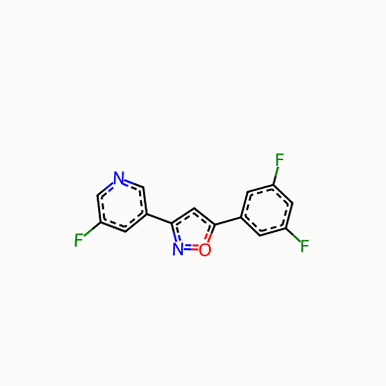 Fc1cncc(-c2cc(-c3cc(F)cc(F)c3)on2)c1